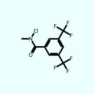 CN(Cl)C(=O)c1cc(C(F)(F)F)cc(C(F)(F)F)c1